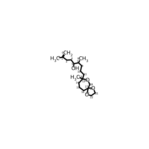 C=C(C)CCC(O)C(C)CCCC1(C)CCCC2(CO1)OCCO2